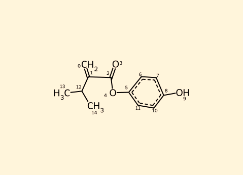 C=C(C(=O)Oc1ccc(O)cc1)C(C)C